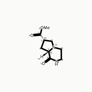 COC(=O)[C@H]1C[C@H]2C(=O)NCCN2C1